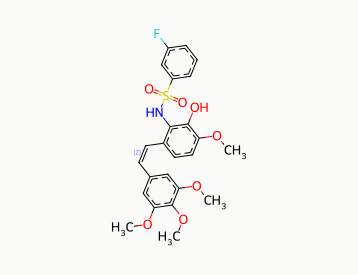 COc1ccc(/C=C\c2cc(OC)c(OC)c(OC)c2)c(NS(=O)(=O)c2cccc(F)c2)c1O